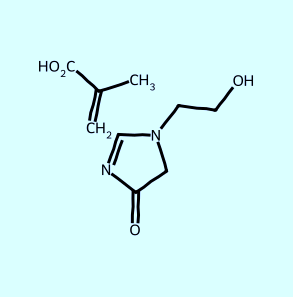 C=C(C)C(=O)O.O=C1CN(CCO)C=N1